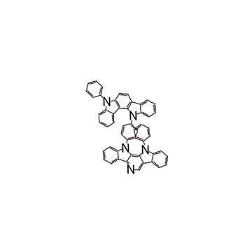 c1ccc(-n2c3ccccc3c3c2ccc2c4ccccc4n(-c4ccc(-n5c6ccccc6c6ncc7c8ccccc8n(-c8ccccc8)c7c65)cc4)c23)cc1